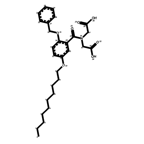 CCCCCCCCCCOc1ccc(OCc2ccccc2)c(C(=O)N(CC(=O)O)CC(=O)O)c1